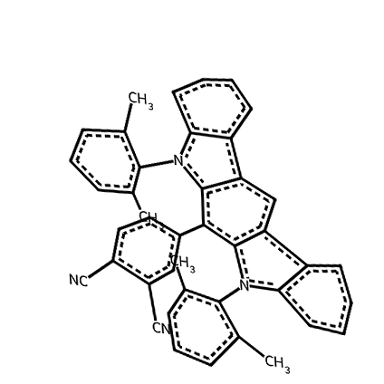 Cc1cccc(C)c1-n1c2ccccc2c2cc3c4ccccc4n(-c4c(C)cccc4C)c3c(-c3ccc(C#N)c(C#N)c3)c21